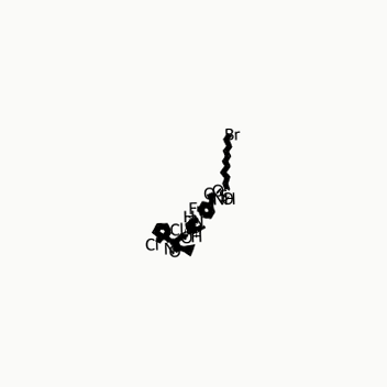 O=C(NS(=O)(=O)CCCCCCCCCCBr)c1ccc(N2C[C@@H]3C[C@H]2C[C@H]3OCc2c(-c3c(Cl)cccc3Cl)noc2C2CC2)c(F)c1